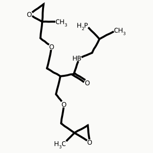 CC(P)CBC(=O)C(COCC1(C)CO1)COCC1(C)CO1